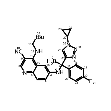 B[C@](Nc1ccc2ncc(C#N)c(NCC(C)(C)C)c2c1)(c1ccc(F)cc1)c1cn(C2CC2)nn1